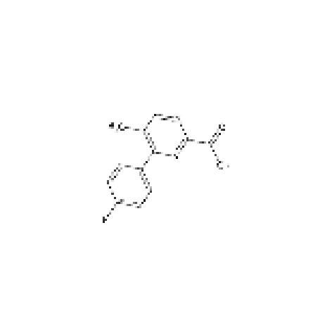 Cc1cnc(C(=O)O)nc1-c1ccc(F)cc1